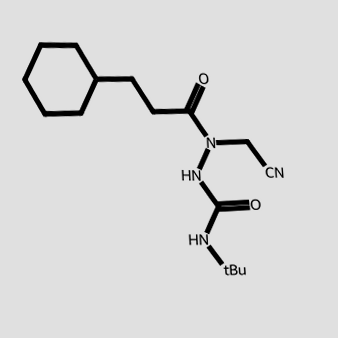 CC(C)(C)NC(=O)NN(CC#N)C(=O)CCC1CCCCC1